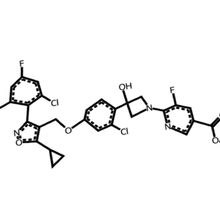 COC(=O)c1cnc(N2CC(O)(c3ccc(OCc4c(-c5c(Cl)cc(F)cc5Cl)noc4C4CC4)cc3Cl)C2)c(F)c1